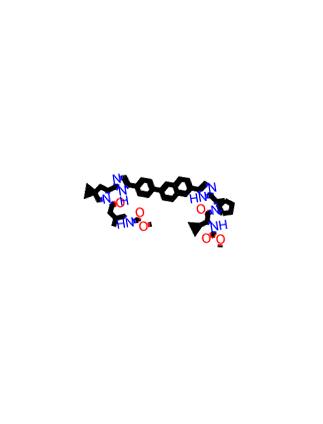 COC(=O)NCC(C)CC(=O)N1CC2(CC2)CC1c1ncc(-c2ccc(-c3ccc4cc(-c5cnc(C6C7CCC(C7)N6C(=O)C(NC(=O)OC)C6CC6)[nH]5)ccc4c3)cc2)[nH]1